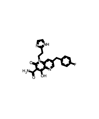 NC(=O)c1c(O)c2ncc(Cc3ccc(F)cc3)cc2n(CCc2ncc[nH]2)c1=O